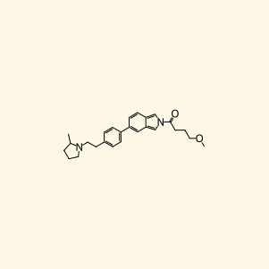 COCCCC(=O)n1cc2ccc(-c3ccc(CCN4CCCC4C)cc3)cc2c1